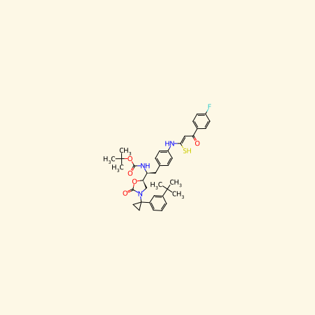 CC(C)(C)OC(=O)N[C@@H](Cc1ccc(N/C(S)=C/C(=O)c2ccc(F)cc2)cc1)[C@H]1CN(C2(c3cccc(C(C)(C)C)c3)CC2)C(=O)O1